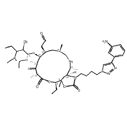 CCO[C@@H](O[C@H]1[C@@H](CC=O)C[C@@H](C)CN[C@H](C)[C@H]2N(CCCCn3cc(-c4cccc(N)c4)nn3)C(=O)O[C@]2(C)[C@@H](CC)OC(=O)[C@H](C)C(=O)[C@@H]1C)C(O)C(CC)N(C)C